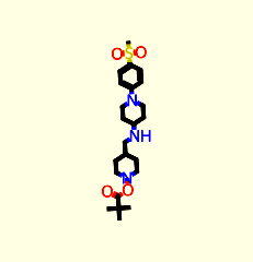 CC(C)(C)C(=O)ON1CCC(CNC2CCN(c3ccc(S(C)(=O)=O)cc3)CC2)CC1